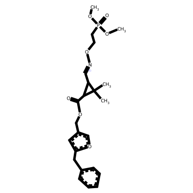 COP(=O)(CCO/N=C/C1C(C(=O)OCc2coc(Cc3ccccc3)c2)C1(C)C)OC